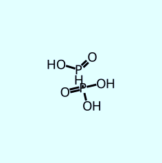 O=[PH](O)P(=O)(O)O